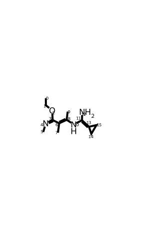 CCOC(=N/C)/C(C)=C(\C)NC(N)=C1CC1